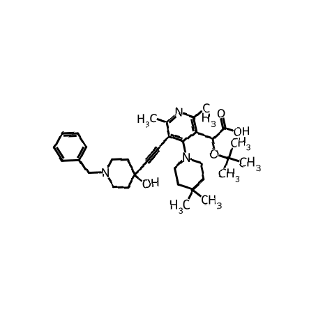 Cc1nc(C)c(C(OC(C)(C)C)C(=O)O)c(N2CCC(C)(C)CC2)c1C#CC1(O)CCN(Cc2ccccc2)CC1